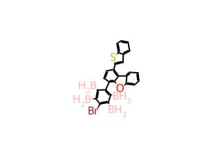 Bc1c(B)c(-c2ccc(-c3cc4ccccc4s3)c3c2oc2ccccc23)c(B)c(B)c1Br